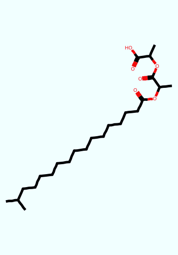 CC(C)CCCCCCCCCCCCCCC(=O)OC(C)C(=O)OC(C)C(=O)O